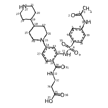 CC(=O)Nc1ccc(S(=O)(=O)Nc2cc(N3CCC(C4CCNCC4)CC3)ccc2C(=O)NCCC(=O)O)cc1